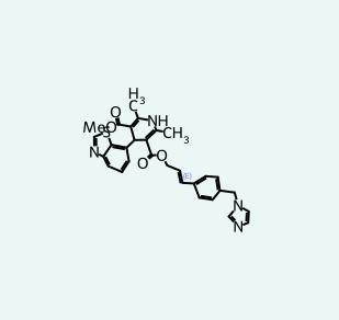 COC(=O)C1=C(C)NC(C)=C(C(=O)OC/C=C/c2ccc(Cn3ccnc3)cc2)C1c1cccc2ncsc12